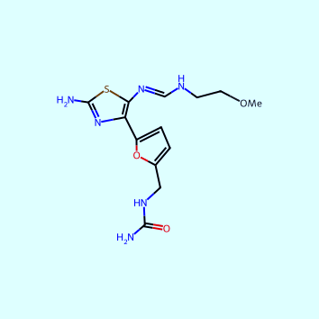 COCCNC=Nc1sc(N)nc1-c1ccc(CNC(N)=O)o1